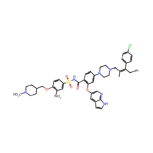 C/C(CN1CCN(c2ccc(C(=O)NS(=O)(=O)c3ccc(OCC4CCN(C(=O)O)CC4)c([N+](=O)[O-])c3)c(Oc3cnc4[nH]ccc4c3)c2)CC1)=C(\CC(C)C)c1ccc(Cl)cc1